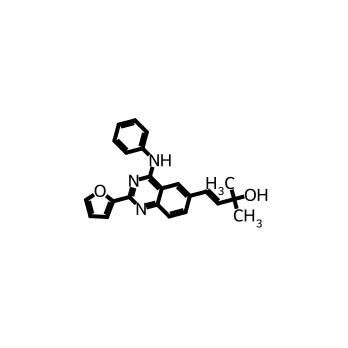 CC(C)(O)C=Cc1ccc2nc(-c3ccco3)nc(Nc3ccccc3)c2c1